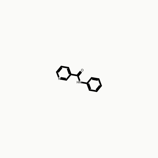 O=C(Nc1c[c]ccc1)c1cccnc1